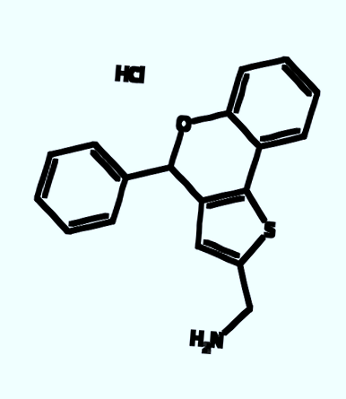 Cl.NCc1cc2c(s1)-c1ccccc1OC2c1ccccc1